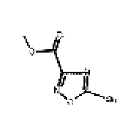 CC(C)(C)c1nc(C(=O)OI)no1